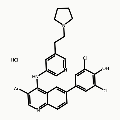 CC(=O)c1cnc2ccc(-c3cc(Cl)c(O)c(Cl)c3)cc2c1Nc1cncc(CCN2CCCC2)c1.Cl